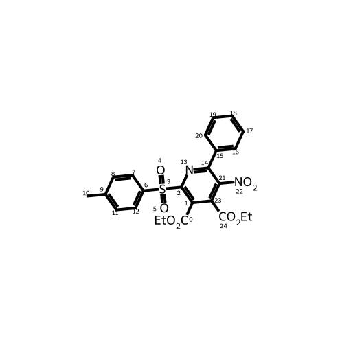 CCOC(=O)c1c(S(=O)(=O)c2ccc(C)cc2)nc(-c2ccccc2)c([N+](=O)[O-])c1C(=O)OCC